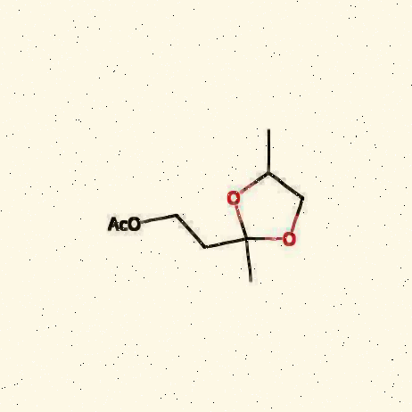 CC(=O)OCCC1(C)OCC(C)O1